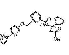 O=C(O)C[C@@H](NC(=O)c1cccc(COc2ccc(-c3ccn[nH]3)nc2)c1)c1ccccc1